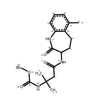 CC(C)(CC(=O)NC1CCc2c(F)cccc2NC1=O)NC(=O)OC(C)(C)C